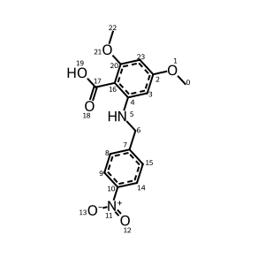 COc1cc(NCc2ccc([N+](=O)[O-])cc2)c(C(=O)O)c(OC)c1